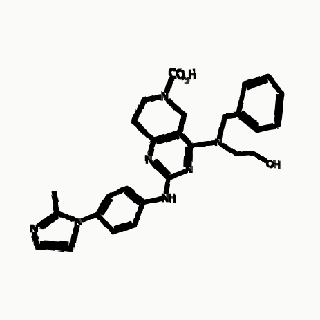 Cc1nccn1-c1ccc(Nc2nc3c(c(N(CCO)Cc4ccccc4)n2)CN(C(=O)O)CC3)cc1